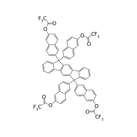 O=C(Oc1ccc2cc(C3(c4ccc5cc(OC(=O)C(F)(F)F)ccc5c4)c4ccccc4-c4cc5c(cc43)-c3ccccc3C5(c3ccc4cc(OC(=O)C(F)(F)F)ccc4c3)c3ccc4cc(OC(=O)C(F)(F)F)ccc4c3)ccc2c1)C(F)(F)F